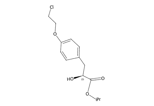 CC(C)OC(=O)[C@@H](O)Cc1ccc(OCCCl)cc1